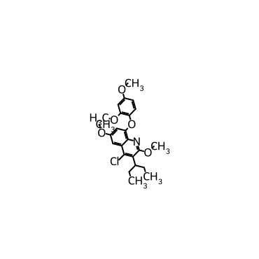 CCC(CC)c1c(OC)nc2c(Oc3ccc(OC)cc3OC)cc(OC)cc2c1Cl